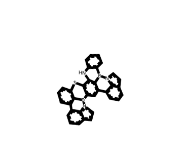 c1ccc2c(c1)Nc1c3c(cc4c1B2n1ccc2cccc-4c21)B1c2c(cccc2-c2cccc4ccn1c24)S3